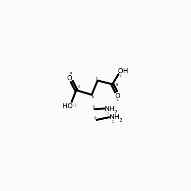 CN.CN.O=C(O)CCC(=O)O